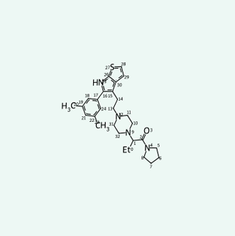 CCC(C(=O)N1CCCC1)N1CCN(CCc2c(-c3cc(C)cc(C)c3)[nH]c3sccc23)CC1